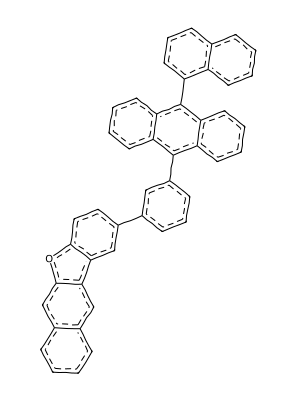 c1cc(-c2ccc3oc4cc5ccccc5cc4c3c2)cc(-c2c3ccccc3c(-c3cccc4ccccc34)c3ccccc23)c1